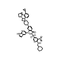 O=C(NS(=O)(=O)c1cnc(NCC2CCCCC2)c([N+](=O)[O-])c1)c1ccc(N2CCC3(CC2)CC(N2CCC4CC42c2ccccc2C2CC2)C3)cc1Oc1cnc2[nH]ccc2c1